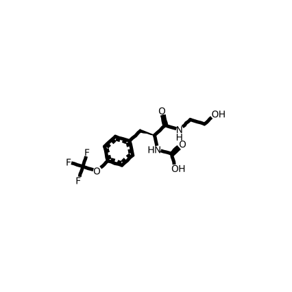 O=C(O)N[C@@H](Cc1ccc(OC(F)(F)F)cc1)C(=O)NCCO